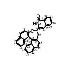 O=c1[nH]c(P2Cc3ccc4ccccc4c3-c3c(ccc4ccccc34)C2)cc2ccccc12